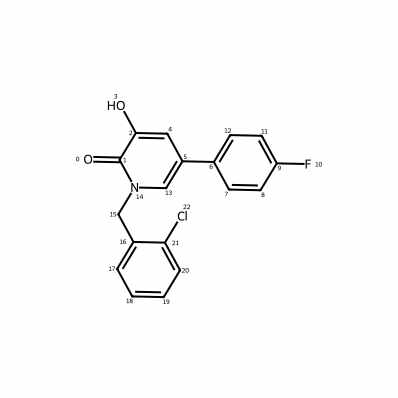 O=c1c(O)cc(-c2ccc(F)cc2)cn1Cc1ccccc1Cl